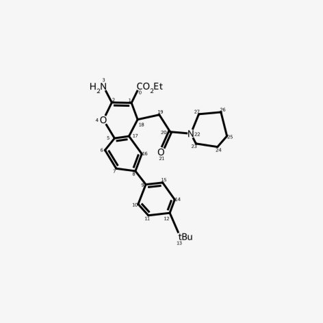 CCOC(=O)C1=C(N)Oc2ccc(-c3ccc(C(C)(C)C)cc3)cc2C1CC(=O)N1CCCCC1